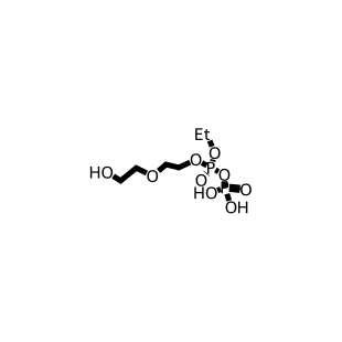 CCOP(=O)(OCCOCCO)OP(=O)(O)O